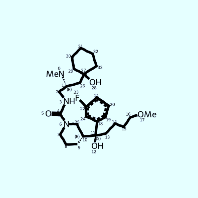 CN[C@@H](CNC(=O)N1CCC[C@@H]([C@@](O)(CCCCOC)c2cccc(F)c2)C1)CC1(O)CCCCC1